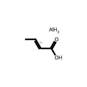 C/C=C/C(=O)O.[AlH3]